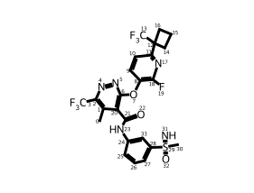 Cc1c(C(F)(F)F)nnc(Oc2ccc(C3(C(F)(F)F)CCC3)nc2F)c1C(=O)Nc1cccc(S(C)(=N)=O)c1